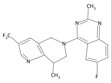 Cc1nc(N2Cc3cc(C(F)(F)F)cnc3C(C)C2)c2cc(F)ccc2n1